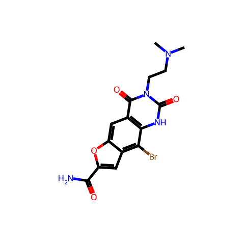 CN(C)CCn1c(=O)[nH]c2c(Br)c3cc(C(N)=O)oc3cc2c1=O